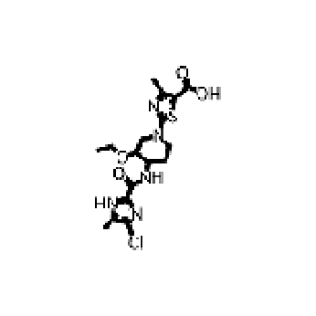 CCOC1CN(c2nc(C)c(C(=O)O)s2)CCC1NC(=O)c1nc(Cl)c(C)[nH]1